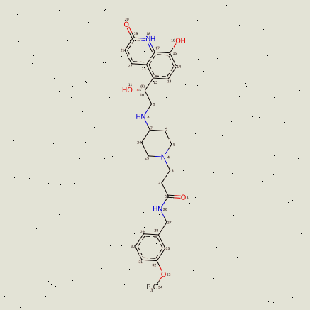 O=C(CCN1CCC(NC[C@H](O)c2ccc(O)c3[nH]c(=O)ccc23)CC1)NCc1cccc(OC(F)(F)F)c1